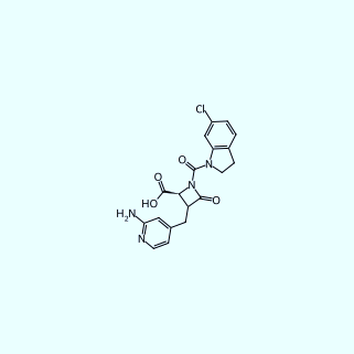 Nc1cc(CC2C(=O)N(C(=O)N3CCc4ccc(Cl)cc43)[C@@H]2C(=O)O)ccn1